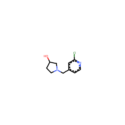 OC1CCN(Cc2ccnc(Cl)c2)C1